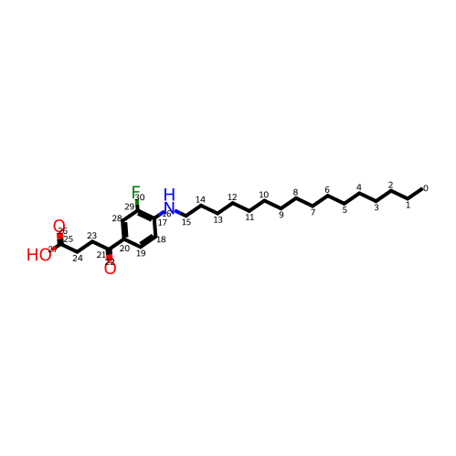 CCCCCCCCCCCCCCCCNc1ccc(C(=O)CCC(=O)O)cc1F